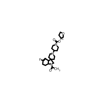 CC(=O)N1CC2(CCN(C3CCN(C(=O)O[C@@H]4CCOC4)CC3)CC2)C2C=C(F)CCC21